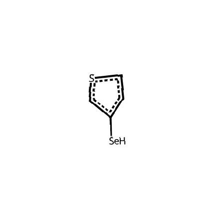 [SeH]c1ccsc1